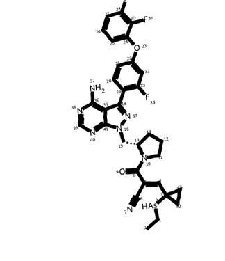 CC[AsH]C1(/C=C(\C#N)C(=O)N2CCC[C@H]2Cn2nc(-c3ccc(Oc4cccc(F)c4F)cc3F)c3c(N)ncnc32)CC1